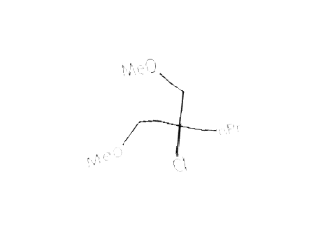 CCCC(Cl)(COC)COC